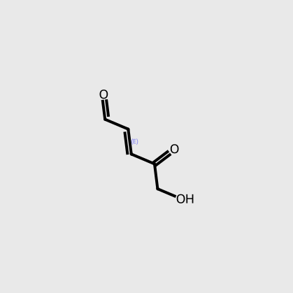 O=C/C=C/C(=O)CO